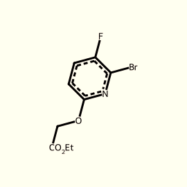 CCOC(=O)COc1ccc(F)c(Br)n1